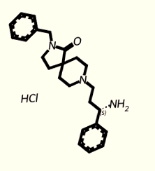 Cl.N[C@@H](CCN1CCC2(CC1)CCN(Cc1ccccc1)C2=O)c1ccccc1